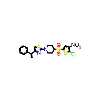 C=C(c1ccccc1)c1csc(N2CCC(S(=O)(=O)c3cc([N+](=O)[O-])c(Cl)s3)CC2)n1